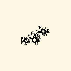 O=C(C1CCC(F)(F)c2nn(Cc3ncc(F)cc3F)c(=O)n21)N1CCC(F)(F)C1